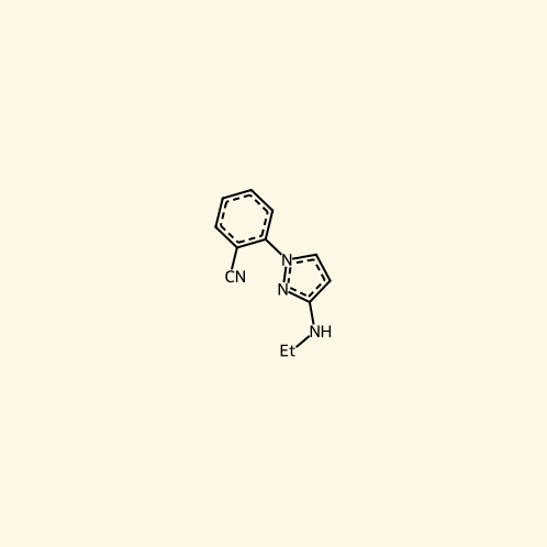 CCNc1ccn(-c2ccccc2C#N)n1